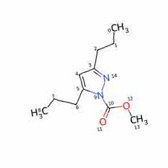 CCCc1cc(CCC)n(C(=O)OC)n1